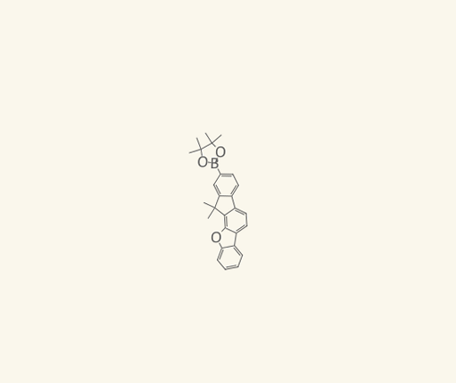 CC1(C)c2cc(B3OC(C)(C)C(C)(C)O3)ccc2-c2ccc3c(oc4ccccc43)c21